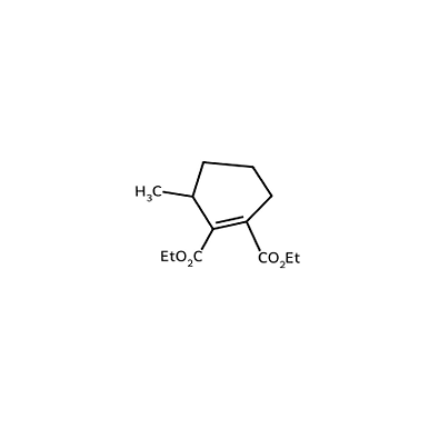 CCOC(=O)C1=C(C(=O)OCC)C(C)CCC1